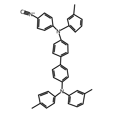 [C-]#[N+]c1ccc(N(c2ccc(-c3ccc(N(c4ccc(C)cc4)c4cccc(C)c4)cc3)cc2)c2cccc(C)c2)cc1